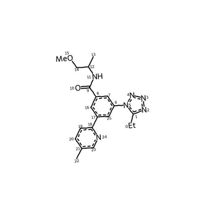 CCc1nnnn1-c1cc(C(=O)NC(C)COC)cc(-c2ccc(C)cn2)c1